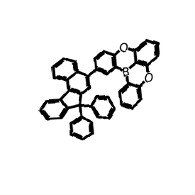 c1ccc(C2(c3ccccc3)c3ccccc3-c3c2cc(-c2ccc4c(c2)B2c5ccccc5Oc5cccc(c52)O4)c2ccccc32)cc1